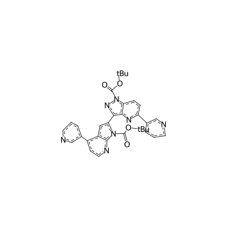 CC(C)(C)OC(=O)n1nc(-c2cc3c(-c4cccnc4)ccnc3n2C(=O)OC(C)(C)C)c2nc(-c3cccnc3)ccc21